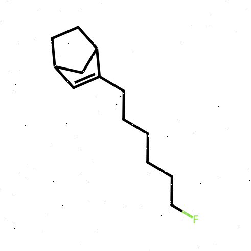 FCCCCCCC1=CC2CCC1C2